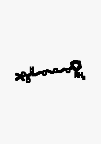 CC(C)(C)OC(=O)NCCOCCOCCOc1ccccc1N